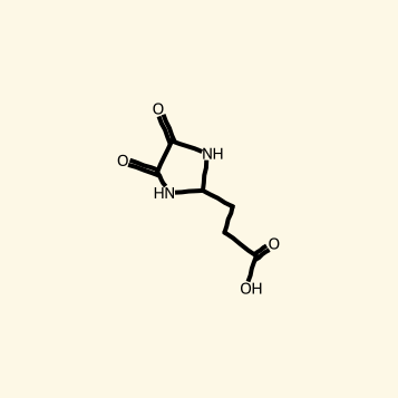 O=C(O)CCC1NC(=O)C(=O)N1